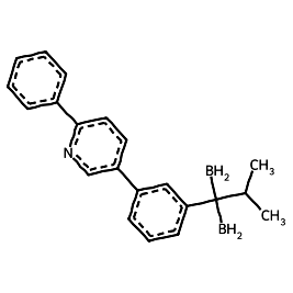 BC(B)(c1cccc(-c2ccc(-c3ccccc3)nc2)c1)C(C)C